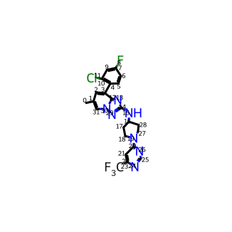 Cc1cc(-c2ccc(F)cc2Cl)c2nc(NC3CCN(c4cc(C(F)(F)F)ncn4)CC3)nn2c1